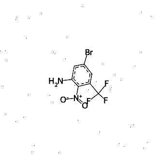 Nc1cc(Br)cc(C(F)(F)F)c1[N+](=O)[O-]